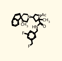 CC(=O)N1CC(N2CC[C@@]3(C=Cc4ccccc43)[C@@H](C)C2)CC1(C)C(=O)NCc1cc(F)cc(CF)c1